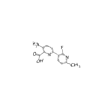 Cc1ccc(-c2ccc(N)c(C(=O)O)n2)c(F)n1